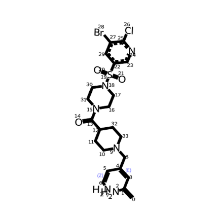 C=C(N)/C=C(\C=C/N)CN1CCC(C(=O)N2CCN(S(=O)(=O)c3cnc(Cl)c(Br)c3)CC2)CC1